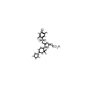 Cc1cc(S(=O)(=O)CC2=NC(OC(=O)O)ON2C2CCC(N3CCCC3)CC2(C)C)c(C)cc1Cl